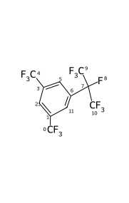 FC(F)(F)c1[c]c(C(F)(F)F)cc(C(F)(C(F)(F)F)C(F)(F)F)c1